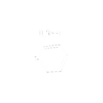 NF.c1ccncc1